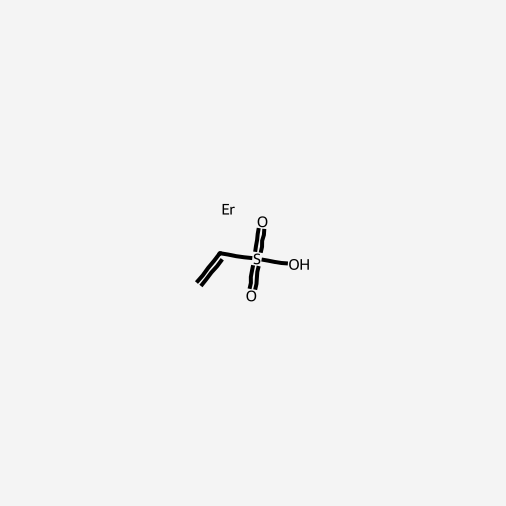 C=CS(=O)(=O)O.[Er]